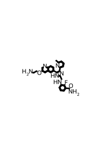 Cc1cccc(-c2nc(CNc3cccc(C(N)=O)c3F)[nH]c2-c2ccc3ncc(OCCN)cc3c2)n1